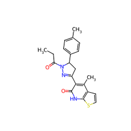 CCC(=O)N1N=C(c2c(C)c3ccsc3[nH]c2=O)CC1c1ccc(C)cc1